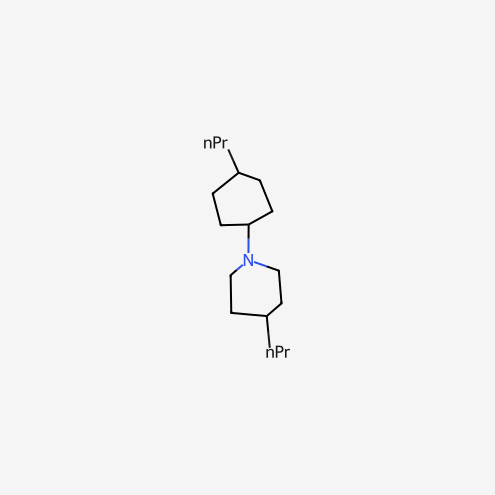 CCCC1CCC(N2CCC(CCC)CC2)CC1